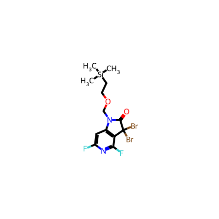 C[Si](C)(C)CCOCN1C(=O)C(Br)(Br)c2c1cc(F)nc2F